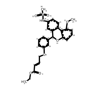 CCOC(=O)/C=C/COc1cccc(C2Oc3cccc(OC)c3-c3ccc(NS(C)(=O)=O)cc32)c1